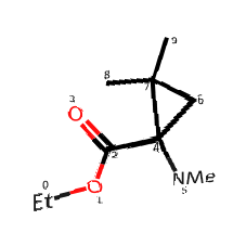 CCOC(=O)C1(NC)CC1(C)C